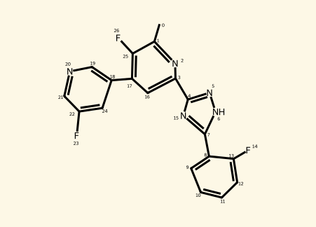 Cc1nc(-c2n[nH]c(-c3ccccc3F)n2)cc(-c2cncc(F)c2)c1F